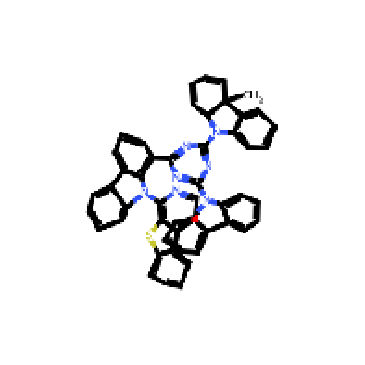 CC12C=CC=CC1N(c1nc(-c3cccc4c5ccccc5n(-c5nccc6c5sc5ccccc56)c34)nc(-n3c4ccccc4c4ccccc43)n1)c1ccccc12